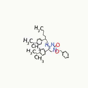 CCCCC(CCCC(CN(OCc1ccccc1)C(N)=O)c1ccc(C(C)C)cc1)c1ccc(C(C)C)cc1